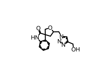 O=C1Nc2ccccc2C12COC(Cn1cc(CO)nn1)C2